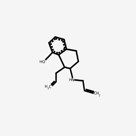 C=CCNC1CCc2cccc(O)c2C1CC=C